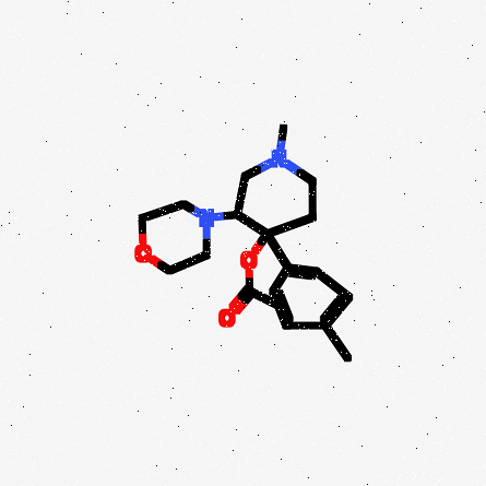 CC(=O)OC1(c2ccc(C)cc2)CCN(C)CC1N1CCOCC1